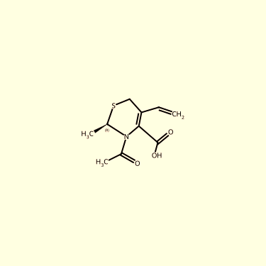 C=CC1=C(C(=O)O)N(C(C)=O)[C@@H](C)SC1